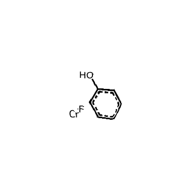 Oc1ccccc1.[Cr].[F]